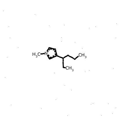 CCCC(CC)c1ccn(C)c1